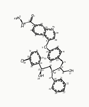 CCCNC(=O)c1ccc2c(Oc3ccc(C[C@@H](CO)N(Cc4ccccc4)C[C@@H](O)c4cccc(Cl)c4)cc3)ccnc2c1